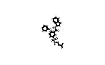 CC(C)CCNS(=O)(=O)c1ccc(Oc2ccccc2)c(C(=O)NC2CCc3ccccc32)c1